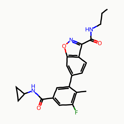 CCCNC(=O)c1noc2cc(-c3cc(C(=O)NC4CC4)cc(F)c3C)ccc12